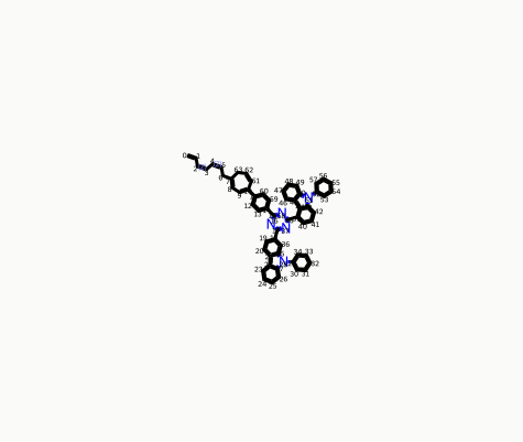 C=C/C=C\C=C/CC1=CC=C(c2ccc(-c3nc(-c4ccc5c6ccccc6n(-c6ccccc6)c5c4)nc(-c4cccc5c4c4ccccc4n5-c4ccccc4)n3)cc2)C=CC1